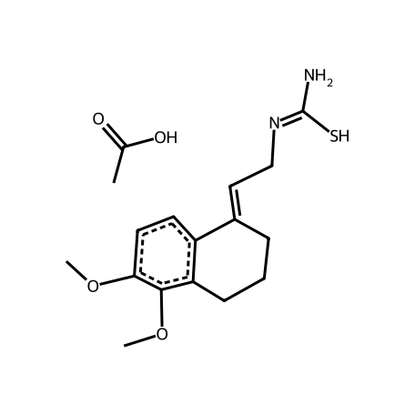 CC(=O)O.COc1ccc2c(c1OC)CCCC2=CCN=C(N)S